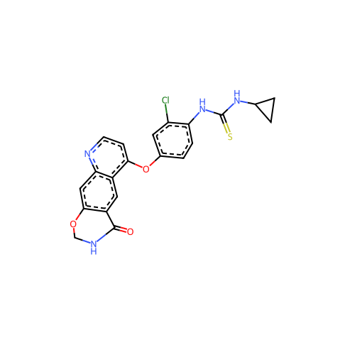 O=C1NCOc2cc3nccc(Oc4ccc(NC(=S)NC5CC5)c(Cl)c4)c3cc21